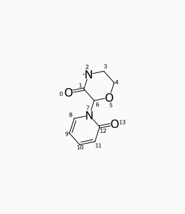 O=C1[N]CCOC1n1ccccc1=O